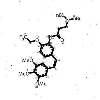 CCCCN(CCCC)CCC(=O)Nc1cc(/C=C\c2cc(OC)c(OC)c(OC)c2)ccc1OCC(F)(F)F